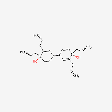 C=CCC1=C/C(=C2\C=CC(O)(CC=C)C(CC=C)=C2)C=CC1(O)CC=C